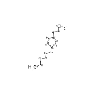 [CH2]C=Cc1ccc(CCCCCC)cc1